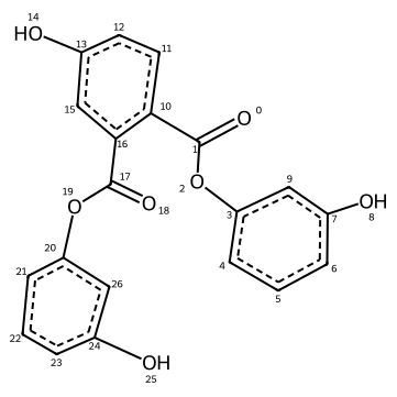 O=C(Oc1cccc(O)c1)c1ccc(O)cc1C(=O)Oc1cccc(O)c1